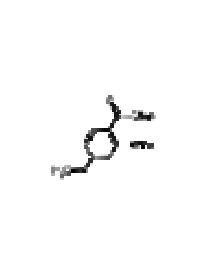 C=[C]c1ccc(C(=O)OC)c(OC)c1